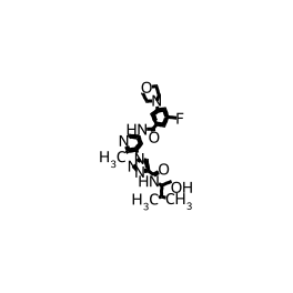 Cc1ncc(NC(=O)c2cc(F)cc(N3CCOCC3)c2)cc1-n1cc(C(=O)NC(CO)C(C)C)nn1